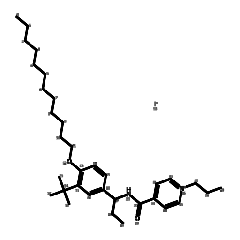 CCCCCCCCCCCCOc1ccc(C(CC)NC(=O)c2cc[n+](CCC)cc2)cc1C(C)(C)C.[I-]